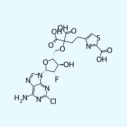 Nc1nc(Cl)nc2c1ncn2[C@@H]1O[C@H](COC(CCc2csc(C(=O)O)n2)(C(=O)O)C(=O)O)[C@@H](O)[C@@H]1F